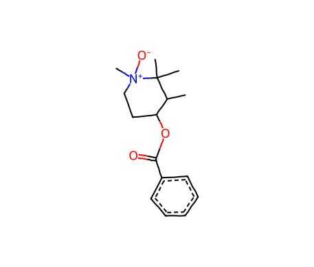 CC1C(OC(=O)c2ccccc2)CC[N+](C)([O-])C1(C)C